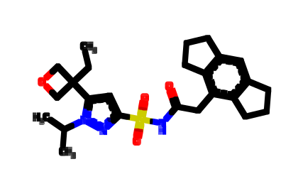 CCC1(c2cc(S(=O)(=O)NC(=O)Cc3c4c(cc5c3CCC5)CCC4)nn2C(C)C)COC1